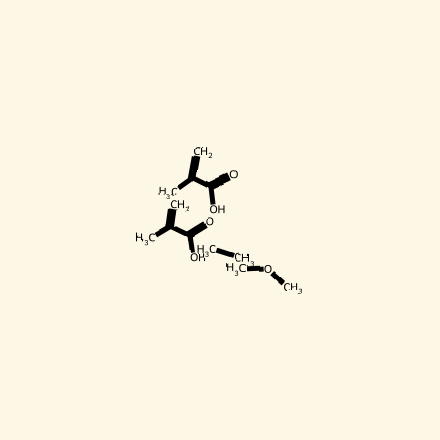 C=C(C)C(=O)O.C=C(C)C(=O)O.CC.COC